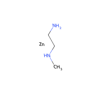 CNCCN.[Zn]